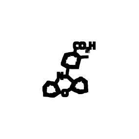 Cc1cc(C2=Nc3ccccc3Oc3ccccc32)ccc1C(=O)O